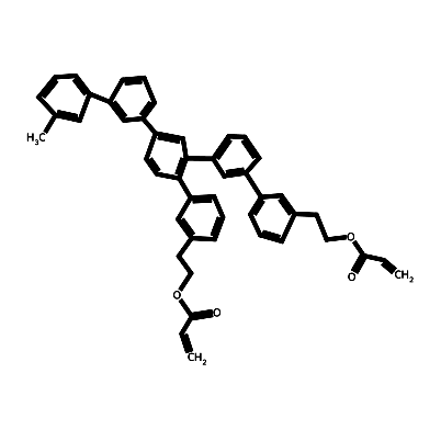 C=CC(=O)OCCc1cccc(-c2cccc(-c3cc(-c4cccc(-c5cccc(C)c5)c4)ccc3-c3cccc(CCOC(=O)C=C)c3)c2)c1